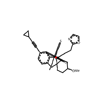 COC1CCC2(CC1)Cc1ccc(C#CC3CC3)cc1C21NC(=S)N(Cc2ncco2)C1=O